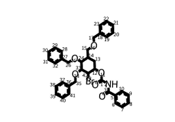 O=C(NC(=O)c1ccccc1)OC1CC(COCc2ccccc2)C(OCc2ccccc2)C(OCc2ccccc2)C1Br